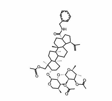 C=C(C)[C@@H]1CC[C@]2(C(=O)NCc3ccccc3)CC[C@]3(C)C(CCC4[C@@]5(C)CC[C@H](O[C@@H]6OC[C@H](C)[C@H](C)[C@H]6O[C@@H]6O[C@@H](C)[C@H](C)[C@@H](OC(C)=O)[C@H]6OC(C)=O)[C@@](C)(COC(C)=O)C5CC[C@]43C)C12